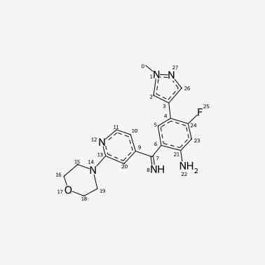 Cn1cc(-c2cc(C(=N)c3ccnc(N4CCOCC4)c3)c(N)cc2F)cn1